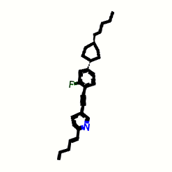 CCC/C=C/c1ccc(C#Cc2ccc([C@H]3CC[C@H](CCCCC)CC3)cc2F)cn1